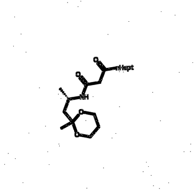 CCCCCCCC(=O)CC(=O)N[C@@H](C)CC1(C)OCCCO1